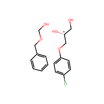 OCOCc1ccccc1.OC[C@@H](O)COc1ccc(Cl)cc1